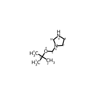 CC(C)(C)OCN1CCNC1